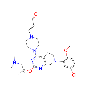 COc1ccc(O)cc1N1CCc2c(nc(O[C@H](C)CN(C)C)nc2N2CCN(C=CC=O)CC2)C1